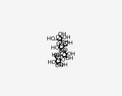 OCC1O[C@@H](O[C@H]2C(O)C(O)[C@H](O[C@@H]3C(CO)O[C@@H](O[C@H]4C(O)C(O)[C@H](O)O[C@H]4CO)[C@@H](O)C3O)O[C@H]2CO)[C@@H](O)C(O)[C@@H]1O